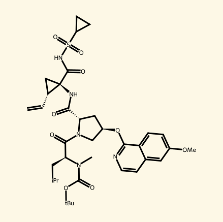 C=C[C@@H]1C[C@]1(NC(=O)[C@@H]1C[C@@H](Oc2nccc3cc(OC)ccc23)CN1C(=O)[C@H](CC(C)C)N(C)C(=O)OC(C)(C)C)C(=O)NS(=O)(=O)C1CC1